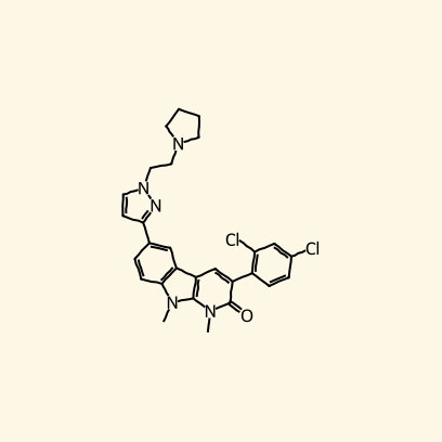 Cn1c(=O)c(-c2ccc(Cl)cc2Cl)cc2c3cc(-c4ccn(CCN5CCCC5)n4)ccc3n(C)c21